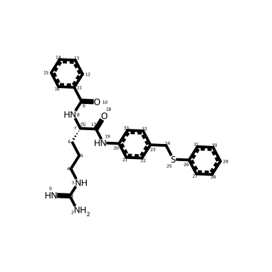 N=C(N)NCCC[C@H](NC(=O)c1ccccc1)C(=O)Nc1ccc(CSc2ccccc2)cc1